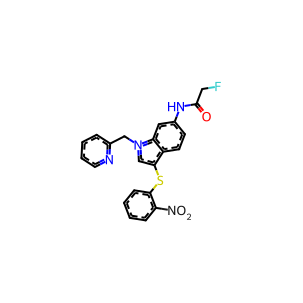 O=C(CF)Nc1ccc2c(Sc3ccccc3[N+](=O)[O-])cn(Cc3ccccn3)c2c1